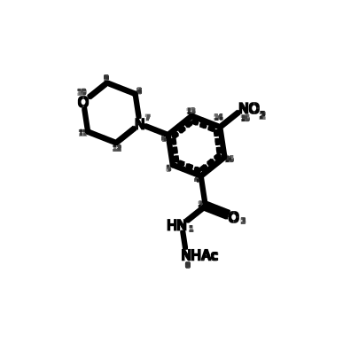 CC(=O)NNC(=O)c1cc(N2CCOCC2)cc([N+](=O)[O-])c1